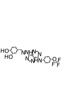 Oc1ccc(C=NNc2ncnc3c(Nc4ccc(OC(F)(F)F)cc4)ncnc23)cc1O